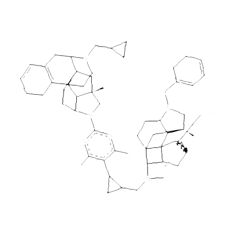 Cc1ccc2c(c1)C13C4C5CCC1(C[C@@H]4CN5CC1=CC=CCC1)C1N(CC4CC4c4c(C)nc(N5C[C@H]6CC78CCC5C6C75CCN(CC6CC6)C8CC6=C5CCC=C6)nc4C)C[C@]13C2